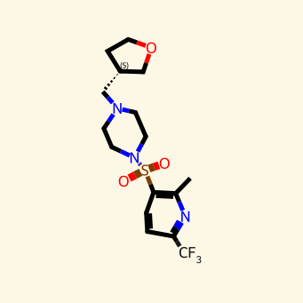 Cc1nc(C(F)(F)F)ccc1S(=O)(=O)N1CCN(C[C@@H]2CCOC2)CC1